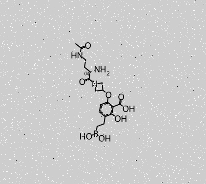 CC(=O)NCC[C@H](N)C(=O)N1CC(Oc2ccc(CCB(O)O)c(O)c2C(=O)O)C1